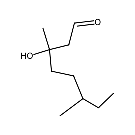 CCC(C)CCC(C)(O)CC=O